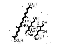 CC(/C=C/C=C(\C)C(=O)O)=C\C=C\C=C(C)\C=C\C=C(/C)C(=O)O.CNC[C@H](O)[C@@H](O)[C@H](O)[C@H](O)CO.CNC[C@H](O)[C@@H](O)[C@H](O)[C@H](O)CO